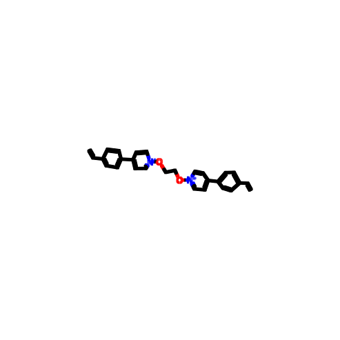 C=Cc1ccc(-c2cc[n+](OCCO[n+]3ccc(-c4ccc(C=C)cc4)cc3)cc2)cc1